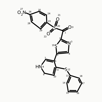 O=C(c1ncc(C2=CNCC=C2Sc2ccccc2)s1)S(=O)(=O)c1ccc([N+](=O)[O-])cc1